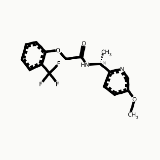 COc1ccc([C@@H](C)NC(=O)COc2ccccc2C(F)(F)F)nc1